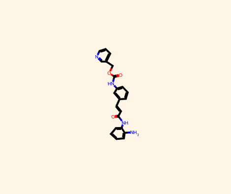 Nc1ccccc1NC(=O)/C=C/c1cccc(NC(=O)OCc2cccnc2)c1